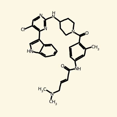 Cc1cc(NC(=O)C=CCN(C)C)ccc1C(=O)N1CCC(Nc2ncc(Cl)c(-c3c[nH]c4ccccc34)n2)CC1